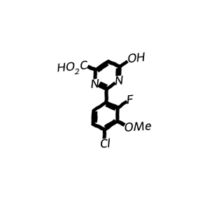 COc1c(Cl)ccc(-c2nc(O)cc(C(=O)O)n2)c1F